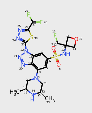 C[C@H]1CN(c2cc(S(=O)(=O)NC3(CF)COC3)cc3c2nnn3-c2nnc(C(F)F)s2)C[C@H](C)N1